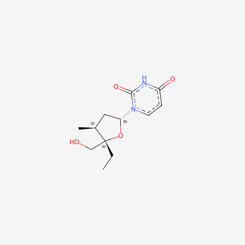 CC[C@]1(CO)O[C@@H](n2ccc(=O)[nH]c2=O)C[C@@H]1C